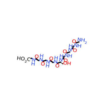 NCC(=O)NCC(=O)NCC(=O)NCC(=O)N[C@@H](CO)C(=O)NCC(=O)NCC(=O)NCC(=O)NCC(=O)O